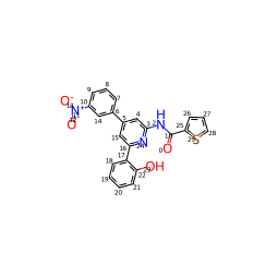 O=C(Nc1cc(-c2cccc([N+](=O)[O-])c2)cc(-c2ccccc2O)n1)c1cccs1